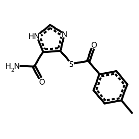 Cc1ccc(C(=O)Sc2nc[nH]c2C(N)=O)cc1